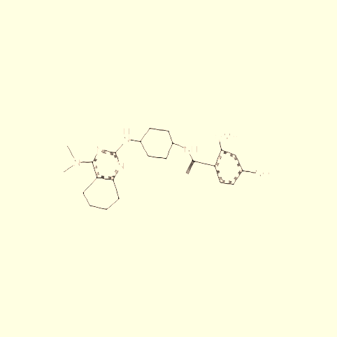 COc1cc([N+](=O)[O-])ccc1C(=O)NC1CCC(Nc2nc3c(c(N(C)C)n2)CCCC3)CC1